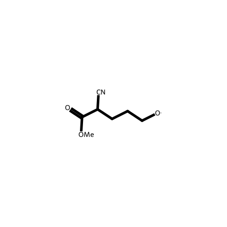 COC(=O)C(C#N)CCC[O]